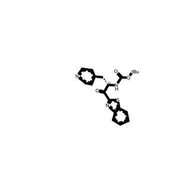 CC(C)(C)OC(=O)N[C@@H](Cc1ccncc1)C(=O)c1nc2ccccc2s1